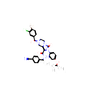 CC(C)Oc1ccc(-n2c(C(=O)NC(C)c3ccc(C#N)cc3)c3n(c2=O)CCN(C(=O)c2ccc(Br)c(Cl)c2)C3)cc1